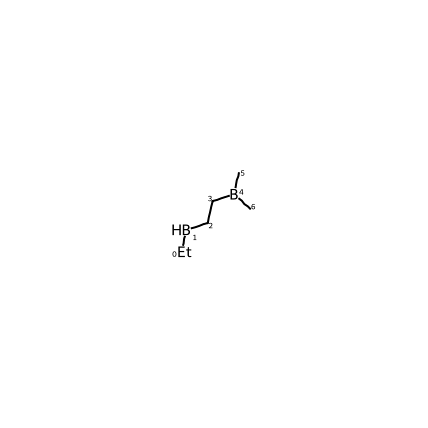 CCBCCB(C)C